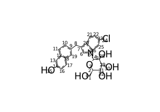 OC[C@H]1O[C@@H](n2cc(Cc3ccc4cc(O)ccc4c3)c3ccc(Cl)cc32)[C@H](O)[C@@H](O)[C@@H]1O